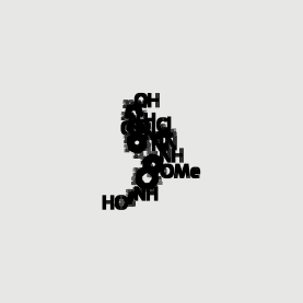 COc1c(Nc2ncc(Cl)c(Nc3ccccc3S(=O)(=O)N3CCC(O)C3)n2)ccc2c1CCC(NCCO)CC2